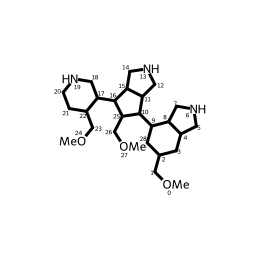 COCC1CC2CNCC2C(C2C3CNCC3C(C3CNCCC3COC)C2COC)C1